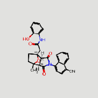 CC12CC[C@@](CC(=O)Nc3ccccc3O)(O1)[C@H]1C(=O)N(c3ccc(C#N)c4ccccc34)C(=O)[C@H]12